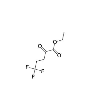 CCOC(=O)C(=O)CCC(F)(F)F